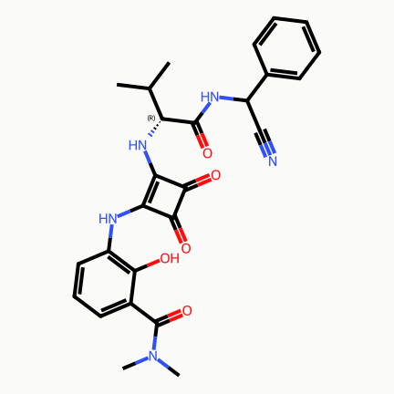 CC(C)[C@@H](Nc1c(Nc2cccc(C(=O)N(C)C)c2O)c(=O)c1=O)C(=O)NC(C#N)c1ccccc1